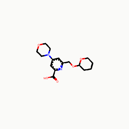 O=C(O)c1cc(N2CCOCC2)cc(COC2CCCCO2)n1